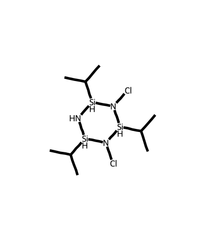 CC(C)[SiH]1N[SiH](C(C)C)N(Cl)[SiH](C(C)C)N1Cl